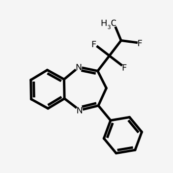 CC(F)C(F)(F)C1=Nc2ccccc2N=C(c2ccccc2)C1